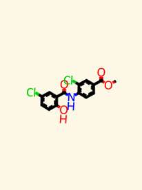 COC(=O)c1ccc(NC(=O)c2cc(Cl)ccc2O)c(Cl)c1